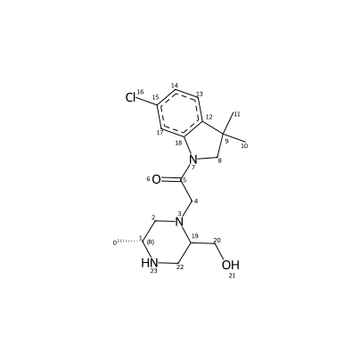 C[C@@H]1CN(CC(=O)N2CC(C)(C)c3ccc(Cl)cc32)C(CO)CN1